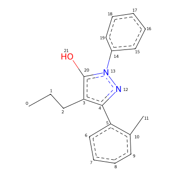 CCCc1c(-c2ccccc2C)nn(-c2ccccc2)c1O